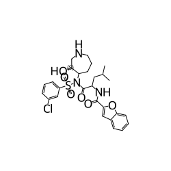 CC(C)CC(NC(=O)c1cc2ccccc2o1)C(=O)N(C1CCCNC[C@@H]1O)S(=O)(=O)c1cccc(Cl)c1